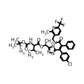 Cc1nc(C(F)(F)F)ccc1Cn1c(=O)c(-c2ccccc2)c(-c2ccc(Cl)cc2)c2nnc([C@H](C)OC(=O)C(NC(=O)OC(C)(C)C)C(C)C)n21